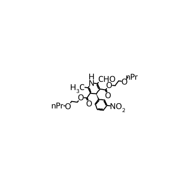 CCCOCCOC(=O)C1=C(C)NC(C=O)=C(C(=O)OCCOCCC)[C@H]1c1cccc([N+](=O)[O-])c1